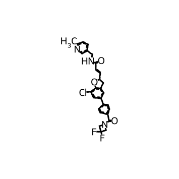 Cc1ccc(CNC(=O)/C=C/C2Cc3cc(-c4ccc(C(=O)N5CC(F)(F)C5)cc4)cc(Cl)c3O2)cn1